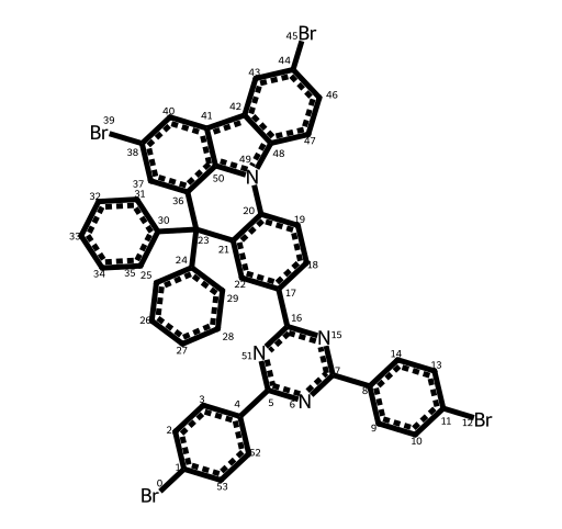 Brc1ccc(-c2nc(-c3ccc(Br)cc3)nc(-c3ccc4c(c3)C(c3ccccc3)(c3ccccc3)c3cc(Br)cc5c6cc(Br)ccc6n-4c35)n2)cc1